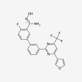 N/C(=N\O)c1cc(-c2cccc(-c3nc(-c4ccoc4)cc(C(F)(F)F)n3)c2)ccc1F